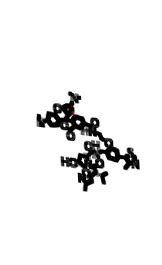 Cc1cc([C@H](C(=O)N2C[C@H](O)C[C@H]2C(=O)NCc2ccc(-c3scnc3C)cc2OCCNC(=O)c2ccc3c(c2)C(=O)OC32c3ccc(N(C)C)cc3Oc3cc(N(C)C)ccc32)C(C)C)on1